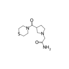 NC(=O)CN1CCC(C(=O)N2CCSCC2)C1